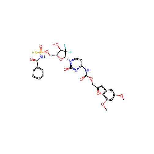 COc1cc(OC)c2oc(COC(=O)Nc3ccn([C@@H]4O[C@H](COP(=O)(S)NC(=O)c5ccccc5)[C@@H](O)C4(F)F)c(=O)n3)cc2c1